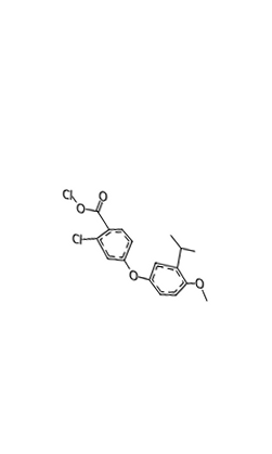 COc1ccc(Oc2ccc(C(=O)OCl)c(Cl)c2)cc1C(C)C